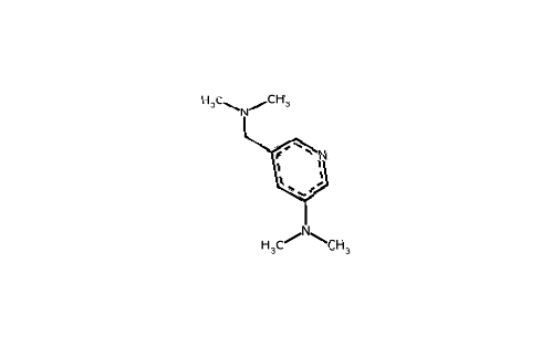 CN(C)Cc1cncc(N(C)C)c1